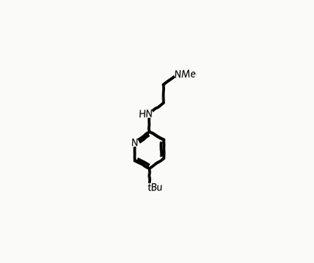 CNCCNc1ccc(C(C)(C)C)cn1